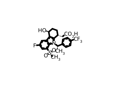 C[C@@H](c1ccc(C(F)(F)F)cc1)n1c2c(c3cc(F)cc(S(C)(=O)=O)c31)[C@@H](O)CC[C@@H]2CC(=O)O